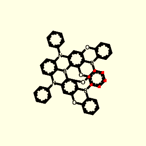 c1ccc(N2c3cccc4c3B(c3c2cc2c5c3Oc3ccccc3B5c3ccccc3O2)c2c(cc3c5c2Oc2ccccc2B5c2ccccc2O3)N4c2ccccc2)cc1